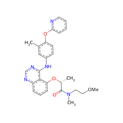 COCCN(C)C(=O)[C@@H](C)Oc1cccc2ncnc(Nc3ccc(Oc4ccccn4)c(C)c3)c12